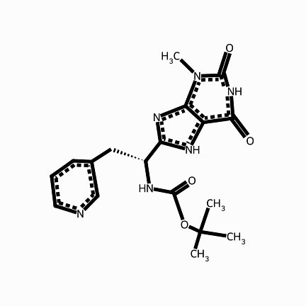 Cn1c(=O)[nH]c(=O)c2[nH]c([C@@H](Cc3cccnc3)NC(=O)OC(C)(C)C)nc21